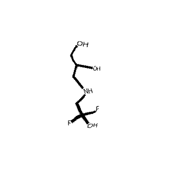 OCC(O)CNCC(O)(F)F